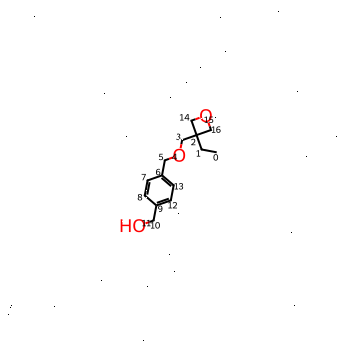 CCC1(COCc2ccc(CO)cc2)COC1